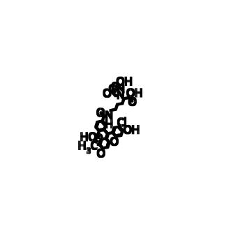 Cc1cc2c(-c3cc(C(=O)NCCCCC(C(=O)O)N(CC(=O)O)CC(=O)O)ccc3C(=O)O)c3cc(Cl)c(O)cc3oc-2cc1=O